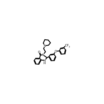 O=C1c2ccccc2NC(c2cccc(Oc3cccc(C(F)(F)F)c3)c2)N1CCN1CCCCC1